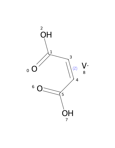 O=C(O)/C=C\C(=O)O.[V]